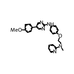 COc1ccc(-c2cnc(Nc3ccc(OCCN(C)c4ccccn4)cc3)nc2)cc1